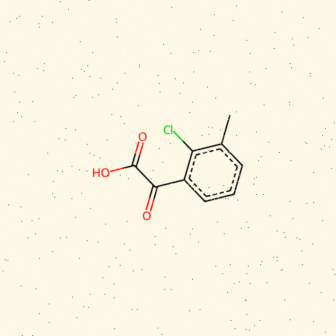 Cc1cccc(C(=O)C(=O)O)c1Cl